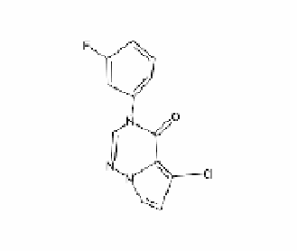 O=c1c2c(Cl)ccn2ncn1-c1cccc(F)c1